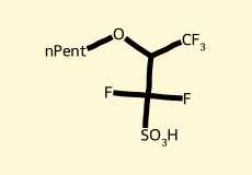 CCCCCOC(C(F)(F)F)C(F)(F)S(=O)(=O)O